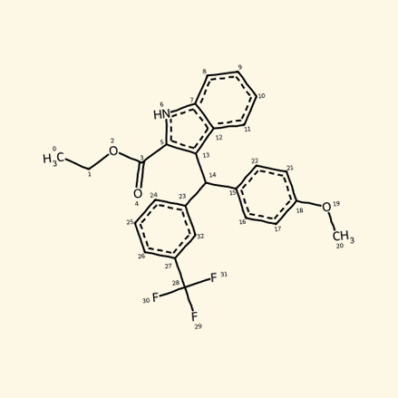 CCOC(=O)c1[nH]c2ccccc2c1C(c1ccc(OC)cc1)c1cccc(C(F)(F)F)c1